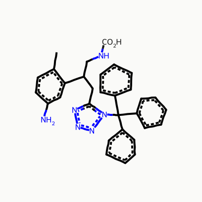 Cc1ccc(N)cc1C(CNC(=O)O)Cc1nnnn1C(c1ccccc1)(c1ccccc1)c1ccccc1